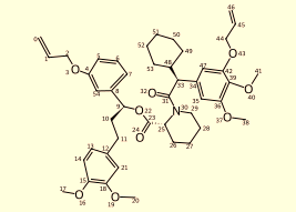 C=CCOc1cccc([C@H](CCc2ccc(OC)c(OC)c2)OC(=O)[C@H]2CCCCN2C(=O)[C@H](c2cc(OC)c(OC)c(OCC=C)c2)C2CCCCC2)c1